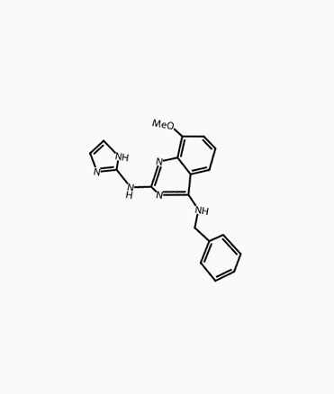 COc1cccc2c(NCc3ccccc3)nc(Nc3ncc[nH]3)nc12